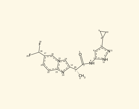 C[C@@H](C(=O)Nc1cc(C2CC2)n[nH]1)c1cn2cc(C(F)F)ccc2n1